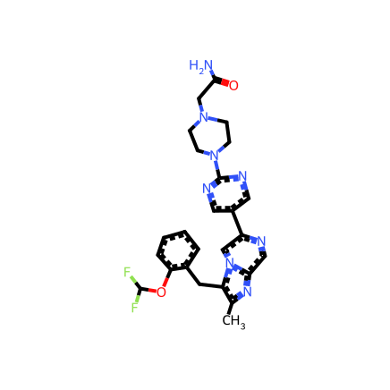 Cc1nc2cnc(-c3cnc(N4CCN(CC(N)=O)CC4)nc3)cn2c1Cc1ccccc1OC(F)F